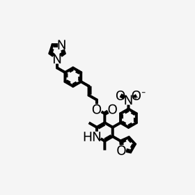 CC1=C(C(=O)OCC=Cc2ccc(Cn3ccnc3)cc2)C(c2cccc([N+](=O)[O-])c2)C(c2ccco2)=C(C)N1